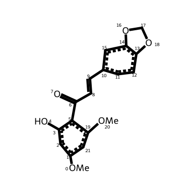 COc1cc(O)c(C(=O)/C=C/c2ccc3c(c2)OCO3)c(OC)c1